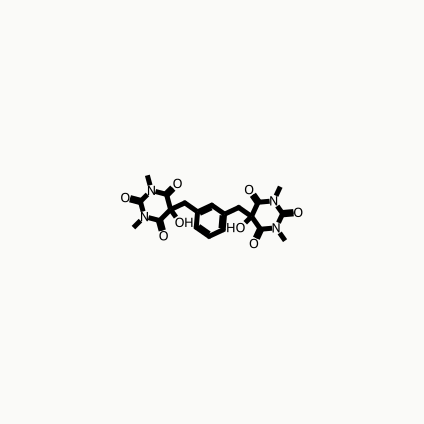 CN1C(=O)N(C)C(=O)C(O)(Cc2cccc(CC3(O)C(=O)N(C)C(=O)N(C)C3=O)c2)C1=O